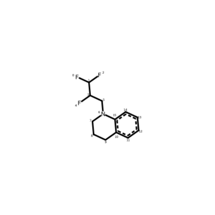 FC(F)C(F)CN1CCCc2ccccc21